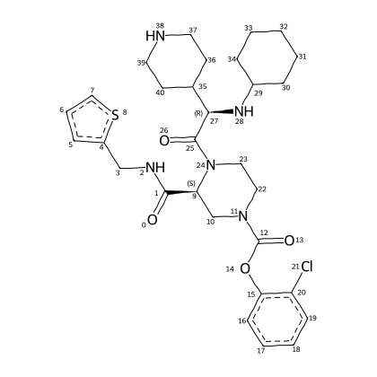 O=C(NCc1cccs1)[C@@H]1CN(C(=O)Oc2ccccc2Cl)CCN1C(=O)[C@H](NC1CCCCC1)C1CCNCC1